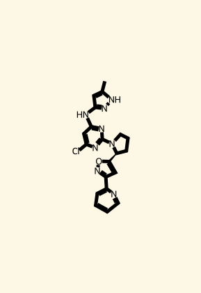 Cc1cc(Nc2cc(Cl)nc(N3CCC[C@H]3c3cc(-c4ccccn4)no3)n2)n[nH]1